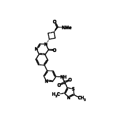 CNC(=O)[C@H]1C[C@H](n2cnc3ccc(-c4cncc(NS(=O)(=O)c5sc(C)nc5C)c4)cc3c2=O)C1